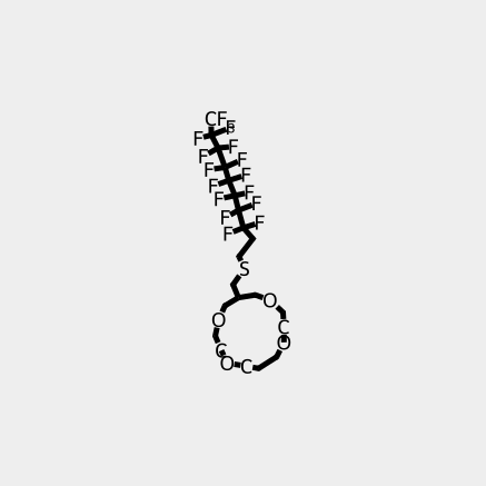 FC(F)(F)C(F)(F)C(F)(F)C(F)(F)C(F)(F)C(F)(F)C(F)(F)C(F)(F)CCSCC1COCCOCCCOCCOC1